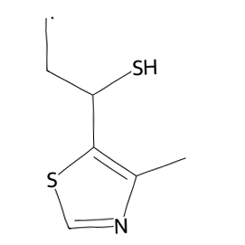 [CH2]CC(S)c1scnc1C